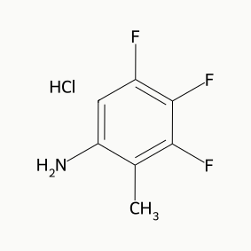 Cc1c(N)cc(F)c(F)c1F.Cl